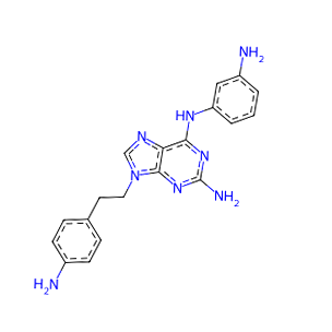 Nc1ccc(CCn2cnc3c(Nc4cccc(N)c4)nc(N)nc32)cc1